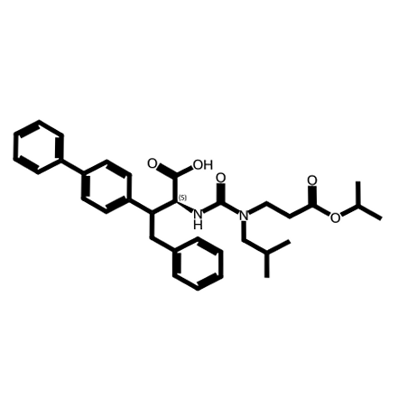 CC(C)CN(CCC(=O)OC(C)C)C(=O)N[C@H](C(=O)O)C(Cc1ccccc1)c1ccc(-c2ccccc2)cc1